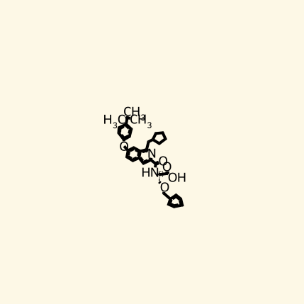 CC(C)(C)c1ccc(Oc2ccc3cc(C(=O)N[C@@H](COCc4ccccc4)C(=O)O)nc(CC4CCCC4)c3c2)cc1